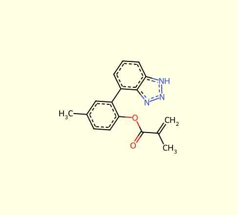 C=C(C)C(=O)Oc1ccc(C)cc1-c1cccc2[nH]nnc12